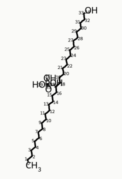 CCCCCCCCCCCCCCCCCCCCCCCCCCCCCCCCCCO.O=P(O)(O)O